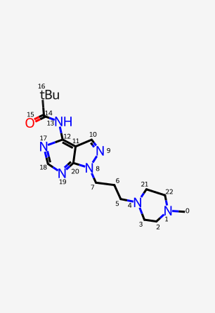 CN1CCN(CCCn2ncc3c(NC(=O)C(C)(C)C)ncnc32)CC1